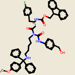 COc1ccc(C(NCCCCCN(C(=O)C[C@H](Cc2ccc(F)cc2)NC(=O)OCC2c3ccccc3-c3ccccc32)C(=O)Nc2ccc(CO)cc2)(c2ccccc2)c2ccccc2)cc1